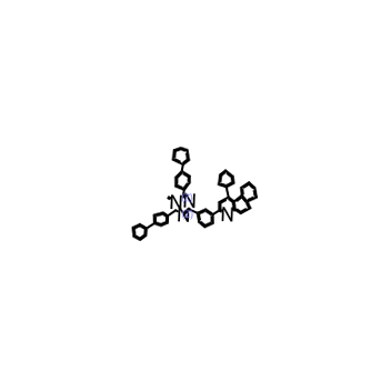 C=N/C(=N\C(=N/Cc1ccc(-c2ccccc2)cc1)c1cccc(-c2cc(-c3ccccc3)c3c(ccc4ccccc43)n2)c1)c1ccc(-c2ccccc2)cc1